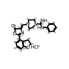 Cl.N=C(Nc1ccccc1)N1CCN(C=C2N=C(c3cccc4c3CCO4)OC2=O)CC1